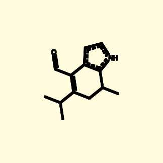 CC(C)C1=C(C=O)c2cc[nH]c2C(C)C1